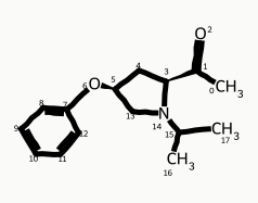 CC(=O)[C@@H]1C[C@H](Oc2ccccc2)CN1C(C)C